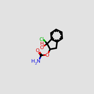 NC(=O)OC1Cc2ccccc2C1(O)Cl